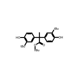 CCCCOC(=O)C(C)(c1ccc(O)c(C(C)(C)C)c1)c1ccc(O)c(C(C)(C)C)c1